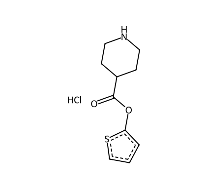 Cl.O=C(Oc1cccs1)C1CCNCC1